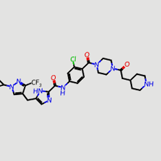 O=C(Nc1ccc(C(=O)N2CCN(C(=O)CC3CCNCC3)CC2)c(Cl)c1)c1ncc(Cc2cn(C3CC3)nc2C(F)(F)F)[nH]1